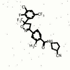 Cc1cc(C2=NOC(c3cc(C(F)(F)F)cc(Cl)c3F)(C(F)(F)F)C2)ccc1C(=O)NC1CCC(C#N)C1